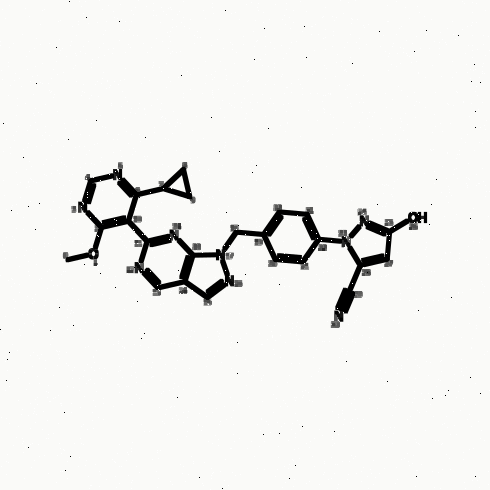 COc1ncnc(C2CC2)c1-c1ncc2cnn(Cc3ccc(-n4nc(O)cc4C#N)cc3)c2n1